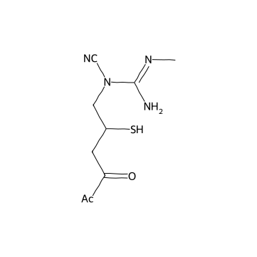 CN=C(N)N(C#N)CC(S)CC(=O)C(C)=O